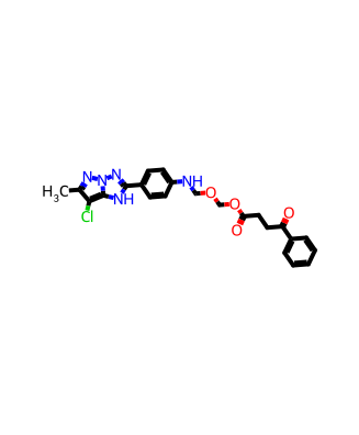 Cc1nn2nc(-c3ccc(NCOCOC(=O)CCC(=O)c4ccccc4)cc3)[nH]c2c1Cl